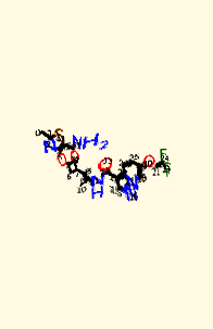 Cc1nc(OC2CC(C[C@H](C)NC(=O)c3cnn4cc(OCC(F)F)ccc34)C2)c(C(N)=O)s1